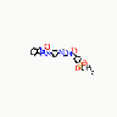 CS(=O)(=O)c1ccc(C(=O)N2CCN(c3ccc(NC(=O)N4Cc5ccccc5C4)cc3)CC2)cc1